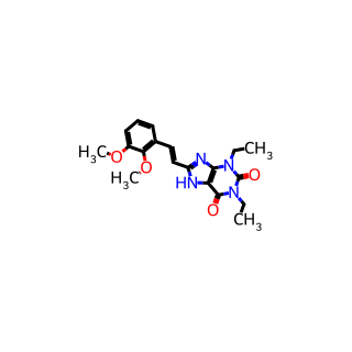 CCn1c(=O)c2[nH]c(/C=C/c3cccc(OC)c3OC)nc2n(CC)c1=O